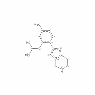 CCCCC(S)Oc1cc(OC)ccc1-c1cn2c(n1)CNCC2